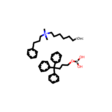 CCCCCCCCCCCCCCCC[N+](C)(C)CCCc1ccccc1.OB(O)OCCCC(c1ccccc1)(c1ccccc1)c1ccccc1